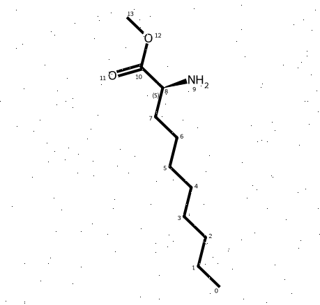 CCCCCCCC[C@H](N)C(=O)OC